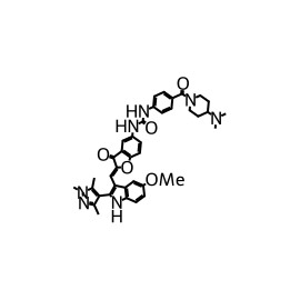 COc1ccc2[nH]c(-c3c(C)nn(C)c3C)c(C=C3Oc4ccc(NC(=O)Nc5ccc(C(=O)N6CCC(N(C)C)CC6)cc5)cc4C3=O)c2c1